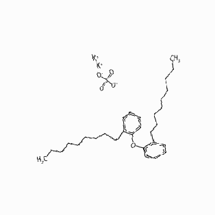 CCCCCCCCCc1ccccc1Oc1ccccc1CCCCCCCCC.O=S(=O)([O-])[O-].[K+].[K+]